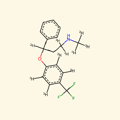 [2H]c1c([2H])c(C(F)(F)F)c([2H])c([2H])c1OC([2H])(CC([2H])([2H])NC([2H])([2H])[2H])c1ccccc1